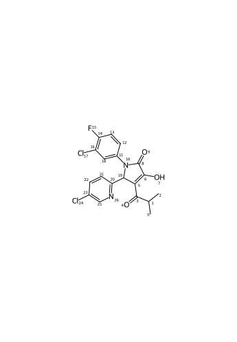 CC(C)C(=O)C1=C(O)C(=O)N(c2ccc(F)c(Cl)c2)C1c1ccc(Cl)cn1